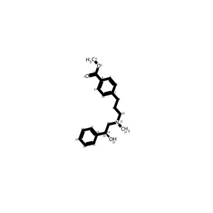 COC(=O)c1ccc(CCCN(C)C[C@@H](O)c2ccccc2)cc1